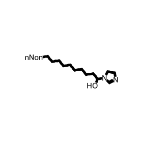 CCCCCCCCCCCCCCCCCCC(O)N1C=NCC1